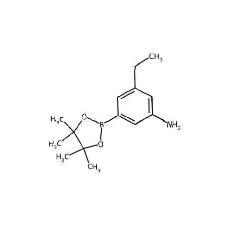 C[CH]c1cc(N)cc(B2OC(C)(C)C(C)(C)O2)c1